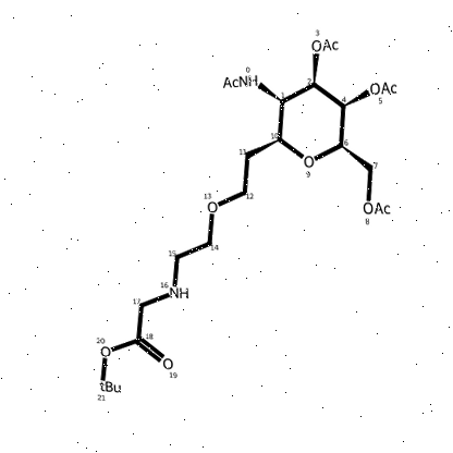 CC(=O)N[C@H]1[C@@H](OC(C)=O)[C@@H](OC(C)=O)[C@@H](COC(C)=O)O[C@H]1CCOCCNCC(=O)OC(C)(C)C